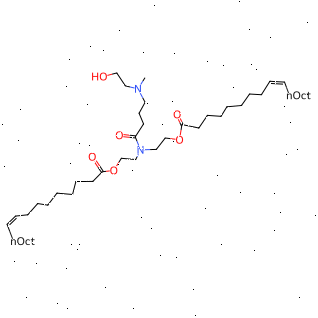 CCCCCCCC/C=C\CCCCCCCC(=O)OCCN(CCOC(=O)CCCCCCC/C=C\CCCCCCCC)C(=O)CCCN(C)CCO